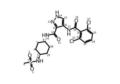 CS(=O)(=O)N[C@H]1CC[C@H](NC(=O)c2n[nH]cc2NC(=O)c2c(Cl)cccc2Cl)CC1